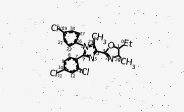 CCC1OC(c2nc(-c3ccc(Cl)cc3Cl)n(-c3ccc(Cl)cc3)c2C)=NC1C